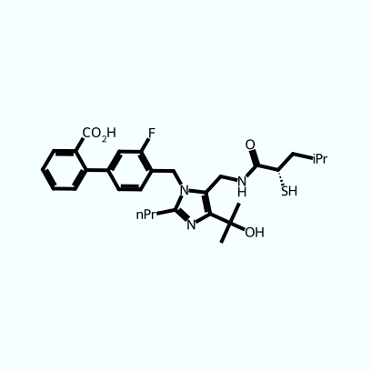 CCCc1nc(C(C)(C)O)c(CNC(=O)[C@@H](S)CC(C)C)n1Cc1ccc(-c2ccccc2C(=O)O)cc1F